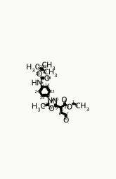 CCOC(=O)C(CC=O)C1=NN(c2ccc(NC(=O)OC(C)(C)C)cc2)C(C)O1